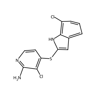 Nc1nccc(Sc2cc3cccc(Cl)c3[nH]2)c1Cl